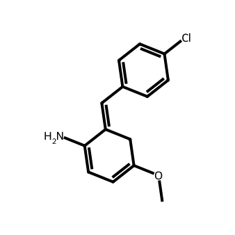 COC1=CC=C(N)C(=Cc2ccc(Cl)cc2)C1